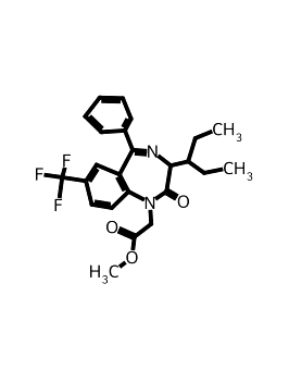 CCC(CC)C1N=C(c2ccccc2)c2cc(C(F)(F)F)ccc2N(CC(=O)OC)C1=O